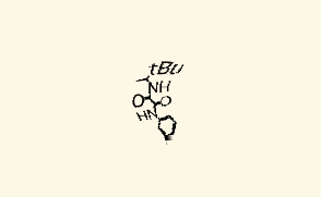 CC(NC(=O)C(=O)Nc1ccccc1)C(C)(C)C